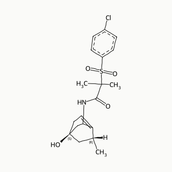 C[C@@H]1C[C@]2(O)CC=C1C(NC(=O)C(C)(C)S(=O)(=O)c1ccc(Cl)cc1)C2